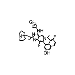 CCc1c(F)ccc2cc(O)cc(-c3ncc4c(NC5C[S+]([O-])C5)nc(OCC56CCCN5CCC6)nc4c3F)c12